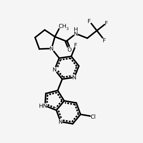 CC1(C(=O)NCC(F)(F)F)CCCN1c1nc(-c2c[nH]c3ncc(Cl)cc23)ncc1F